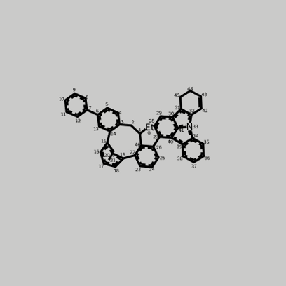 CCC1Cc2ccc(-c3ccccc3)cc2-c2cccc(c2C)-c2cccc(-c3ccc4c5c(n6c7ccccc7c3c46)C=CCC5)c21